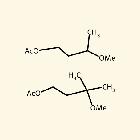 COC(C)(C)CCOC(C)=O.COC(C)CCOC(C)=O